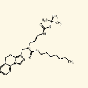 CCCCCCCOC(=O)[C@@H](CCCNC(=O)OC(C)(C)C)Cc1ncn2c1CCc1ccccc1-2